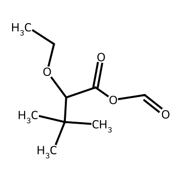 CCOC(C(=O)OC=O)C(C)(C)C